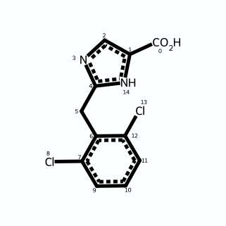 O=C(O)c1cnc(Cc2c(Cl)cccc2Cl)[nH]1